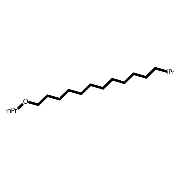 CC[CH]OCCCCCCCCCCCCC(C)C